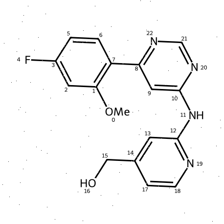 COc1cc(F)ccc1-c1cc(Nc2cc(CO)ccn2)ncn1